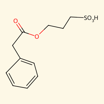 O=C(Cc1ccccc1)OCCCS(=O)(=O)O